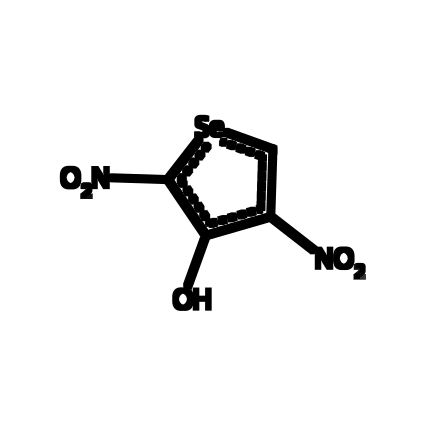 O=[N+]([O-])c1c[se]c([N+](=O)[O-])c1O